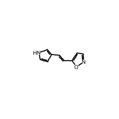 C(=Cc1ccno1)c1cc[nH]c1